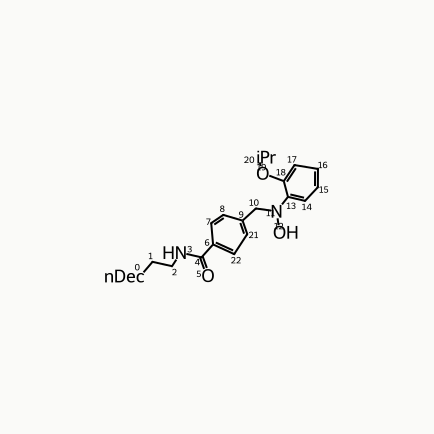 CCCCCCCCCCCCNC(=O)c1ccc(CN(O)c2ccccc2OC(C)C)cc1